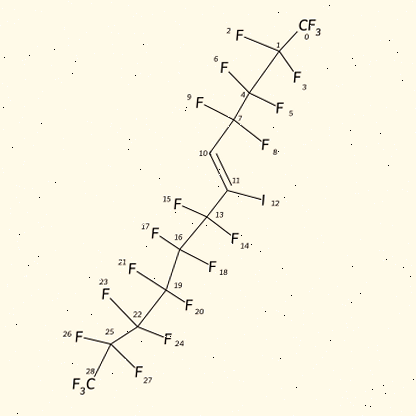 FC(F)(F)C(F)(F)C(F)(F)C(F)(F)C=C(I)C(F)(F)C(F)(F)C(F)(F)C(F)(F)C(F)(F)C(F)(F)F